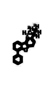 [2H]C([2H])([2H])C([2H])(C)c1ccc2oc3c(-c4ccccc4)cccc3c2n1